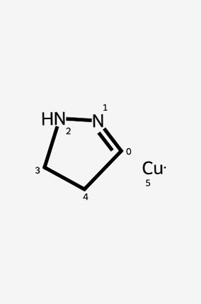 C1=NNCC1.[Cu]